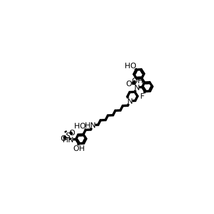 CS(=O)(=O)Nc1cc([C@@H](O)CNCCCCCCCCCN2CCC(N(C(=O)O)c3c(F)cccc3-c3ccc(O)cc3)CC2)ccc1O